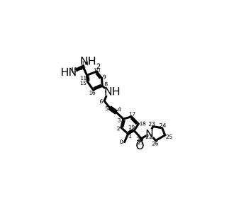 Cc1cc(C#CCNc2ccc(C(=N)N)cc2)ccc1C(=O)N1CCCC1